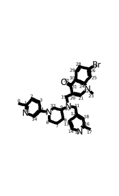 Cc1ccc(N2CCCC(N(Cc3ccnc(C)c3)Cc3cn(C)c4cc(Br)ccc4c3=O)C2)cn1